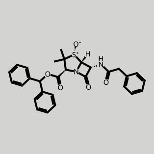 CC1(C)[C@H](C(=O)OC(c2ccccc2)c2ccccc2)N2C(=O)[C@@H](NC(=O)Cc3ccccc3)[C@H]2[S@@+]1[O-]